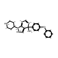 NC1(c2ccc(Oc3ccccc3)cc2)N=CN=C2C1=CNN2C1CCNCC1